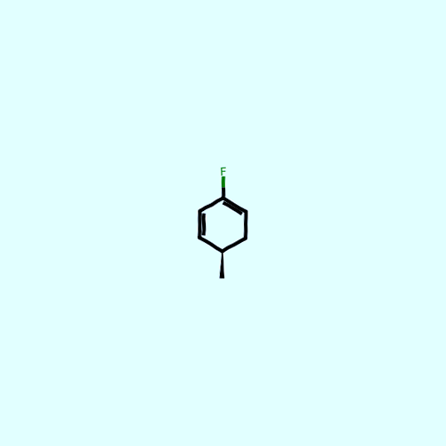 C[C@H]1C=CC(F)=CC1